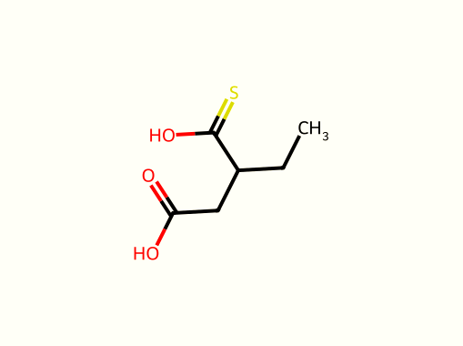 CCC(CC(=O)O)C(O)=S